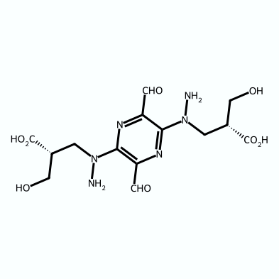 NN(C[C@H](CO)C(=O)O)c1nc(C=O)c(N(N)C[C@H](CO)C(=O)O)nc1C=O